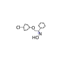 O/N=C(\COc1ccc(Cl)cc1)c1ccccc1